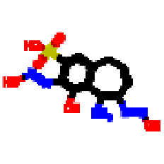 NC1=C(N=NO)C=CCc2cc(S(=O)(=O)O)c(N=NO)c(O)c21